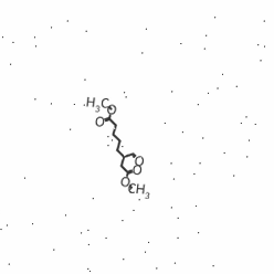 COC(=O)CCCCC(C=O)CC(=O)OC